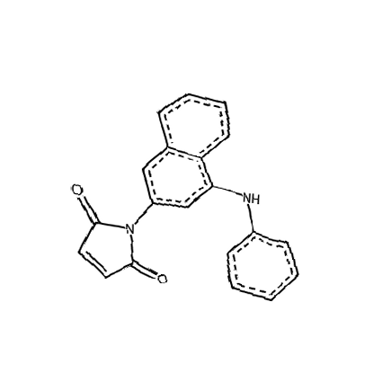 O=C1C=CC(=O)N1c1cc(Nc2ccccc2)c2ccccc2c1